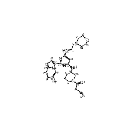 N#CCC(=O)N1CCCC(Nc2cc(NCCN3CCOCC3)nc(-c3cnc4ccc(F)cn34)n2)C1